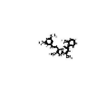 Cc1cc(NCc2c(C)nc3c(C)cc(-c4ccccc4C(F)(F)F)nn23)cc(C)n1